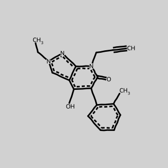 C#CCn1c(=O)c(-c2ccccc2C)c(O)c2cn(CC)nc21